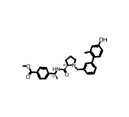 COC(=O)c1ccc([C@H](C)NC(=O)[C@H]2CCCN2Cc2cccc(-c3ccc(O)cc3C)c2)cc1